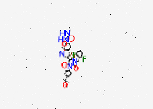 CCNC(=O)Nc1ccc(-c2sc3c(c2CN(C)CCOC)c(=O)n(-c2ccc(C(C)(C)OC)cc2)c(=O)n3Cc2c(F)cccc2F)cc1